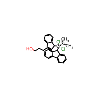 C[SiH](C)[Zr]([Cl])([Cl])([CH]1C=C(CCCO)c2ccccc21)[CH]1c2ccccc2-c2ccccc21